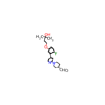 CC(C)(O)CCOc1ccc(F)c(-c2ccnc(N3CCC(C=O)CC3)c2)c1